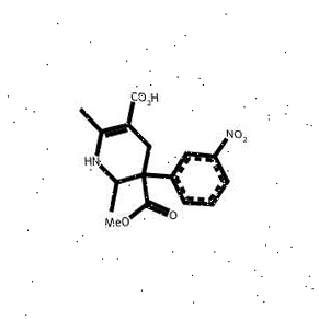 COC(=O)C1(c2cccc([N+](=O)[O-])c2)CC(C(=O)O)=C(C)NC1C